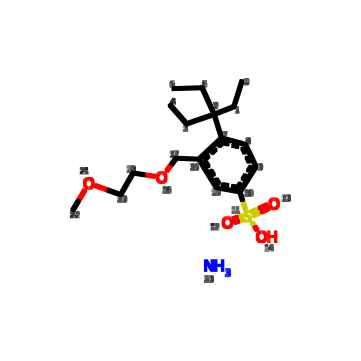 CCC(CC)(CC)c1ccc(S(=O)(=O)O)cc1COCCOC.N